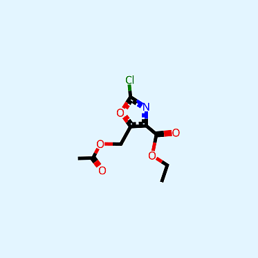 CCOC(=O)c1nc(Cl)oc1COC(C)=O